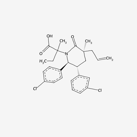 C=CC[C@@]1(C)C[C@H](c2cccc(Cl)c2)[C@@H](c2ccc(Cl)cc2)N(C(C)(CC)C(=O)O)C1=O